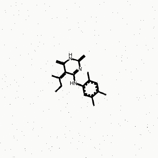 C=C1N=C(Nc2cc(C)c(C)cc2C)/C(=C(/C)CC)C(=C)N1